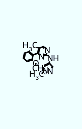 COc1ccccc1-c1nc(Nc2cnn(C)c2)ncc1C